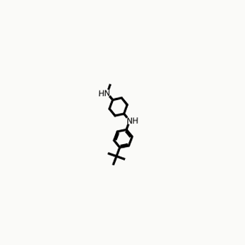 CNC1CCC(Nc2ccc(C(C)(C)C)cc2)CC1